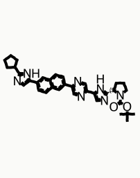 CC(C)(C)OC(=O)N1CCC[C@H]1c1ncc(-c2cnc(-c3ccc4cc(-c5cnc(C6CCCC6)[nH]5)ccc4c3)cn2)[nH]1